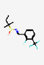 CCC(C)(C)[S+]([O-])/N=C/c1cccc(C(F)(F)F)c1F